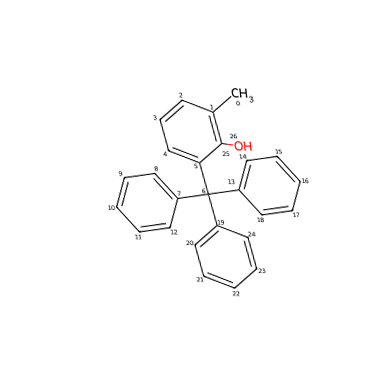 Cc1cccc(C(c2ccccc2)(c2ccccc2)c2ccccc2)c1O